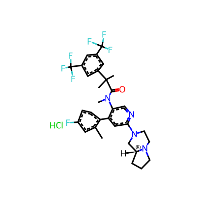 Cc1cc(F)ccc1-c1cc(N2CCN3CCC[C@@H]3C2)ncc1N(C)C(=O)C(C)(C)c1cc(C(F)(F)F)cc(C(F)(F)F)c1.Cl